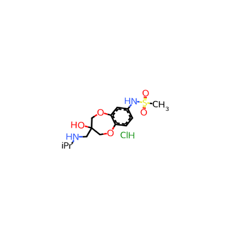 CC(C)NCC1(O)COc2ccc(NS(C)(=O)=O)cc2OC1.Cl